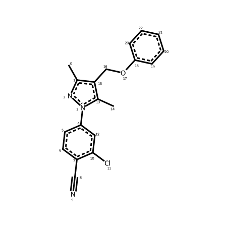 Cc1nn(-c2ccc(C#N)c(Cl)c2)c(C)c1COc1ccccc1